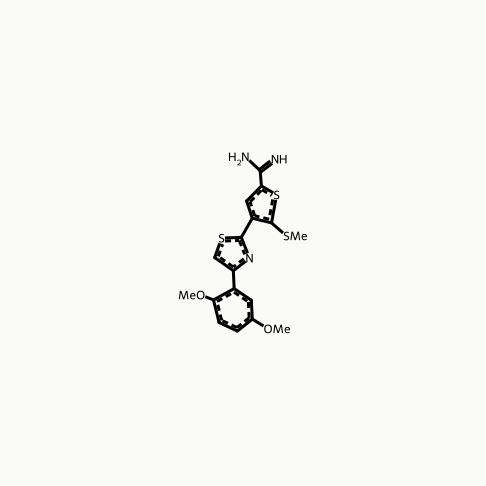 COc1ccc(OC)c(-c2csc(-c3cc(C(=N)N)sc3SC)n2)c1